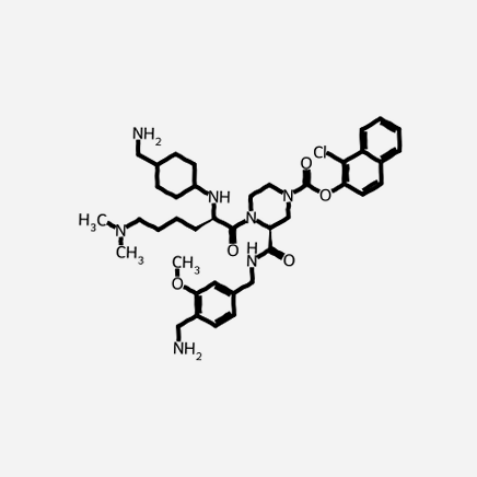 COc1cc(CNC(=O)[C@@H]2CN(C(=O)Oc3ccc4ccccc4c3Cl)CCN2C(=O)[C@@H](CCCCN(C)C)NC2CCC(CN)CC2)ccc1CN